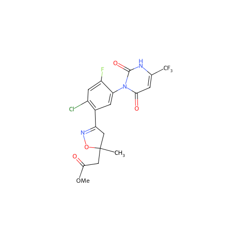 COC(=O)CC1(C)CC(c2cc(-n3c(=O)cc(C(F)(F)F)[nH]c3=O)c(F)cc2Cl)=NO1